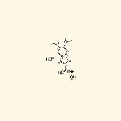 COc1cc2c(cc1OC)CC(C(=N)NO)=C2.Cl